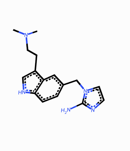 CN(C)CCc1c[nH]c2ccc(Cn3ccnc3N)cc12